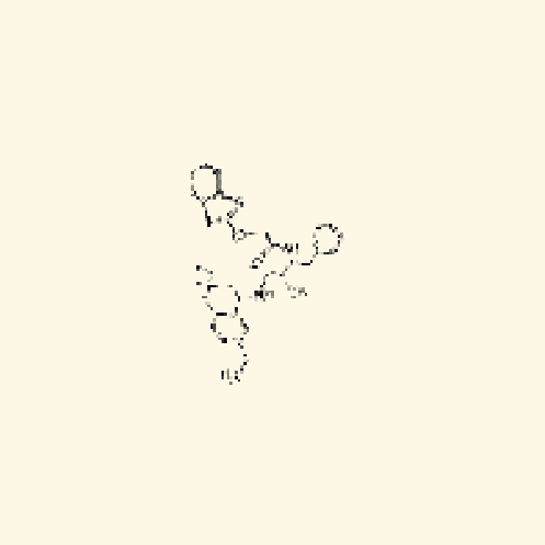 CCc1ccc2c(c1)[C@@H](NC[C@@H](O)[C@H](Cc1ccccc1)NC(=O)COc1nc3ccccc3s1)CC1(CCC1)O2